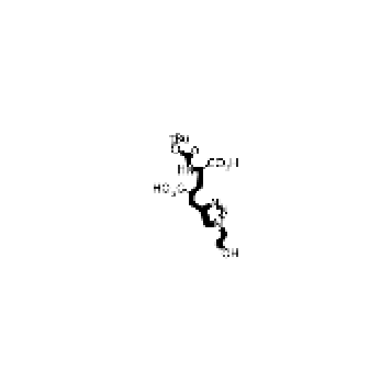 CC(C)(C)OC(=O)N[C@@H](C[C@H](Cc1cn(CCO)nn1)C(=O)O)C(=O)O